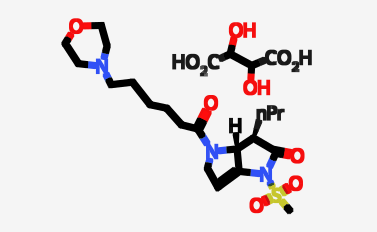 CCC[C@H]1C(=O)N(S(C)(=O)=O)C2=CCN(C(=O)CCCCCN3CCOCC3)[C@@H]21.O=C(O)C(O)C(O)C(=O)O